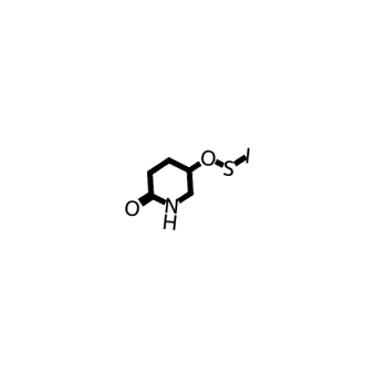 O=C1CCC(OSI)CN1